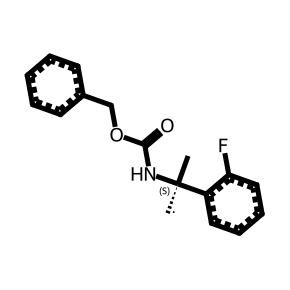 [CH2][C@@](C)(NC(=O)OCc1ccccc1)c1ccccc1F